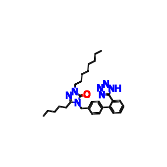 CCCCCCCCn1nc(CCCCC)n(Cc2ccc(-c3ccccc3-c3nnn[nH]3)cc2)c1=O